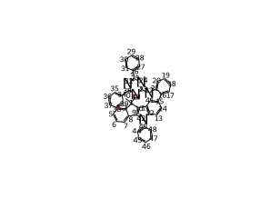 CC1(C)c2ccccc2-c2c1c1c(ccc3c4ccccc4n(-c4nc(-c5ccccc5)nc(-c5ccccc5)n4)c31)n2-c1ccccc1